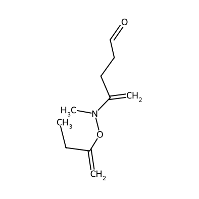 C=C(CC)ON(C)C(=C)CCC=O